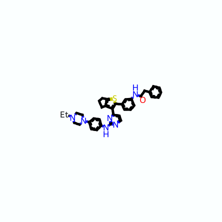 CCN1CCN(c2ccc(Nc3nccc(-c4c(-c5cccc(NC(=O)Cc6ccccc6)c5)sc5c4CCC5)n3)cc2)CC1